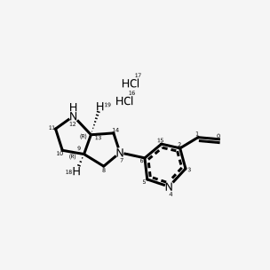 C=Cc1cncc(N2C[C@H]3CCN[C@H]3C2)c1.Cl.Cl